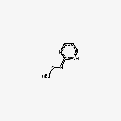 CCCCSN=c1nccc[nH]1